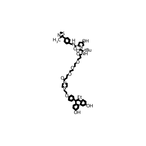 CCC(=C(c1ccc(O)cc1)c1ccc(OCCN2CCN(C(=O)CCOCCOCCOCCC(=O)N[C@H](C(=O)N3C[C@H](O)C[C@H]3C(=O)NCc3ccc(-c4scnc4C)cc3)C(C)(C)C)CC2)cc1)c1ccc(O)cc1